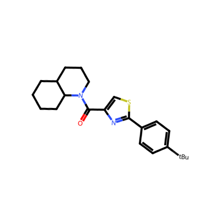 CC(C)(C)c1ccc(-c2nc(C(=O)N3CCCC4CCCCC43)cs2)cc1